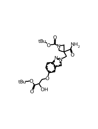 CC(C)(C)OC(=O)C(O)COc1ccc2nn(CC3(C(N)=O)CN(C(=O)OC(C)(C)C)C3)cc2c1